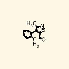 Cc1ccccc1-c1c(C)noc1C=O